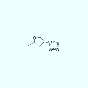 CC1CC(n2ccnn2)CO1